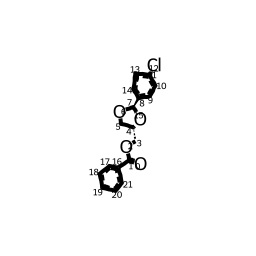 O=C(OC[C@@H]1CO[C@@H](c2ccc(Cl)cc2)O1)c1ccccc1